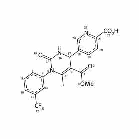 COC(=O)C1=C(C)N(c2cccc(C(F)(F)F)c2)C(=O)NC1c1ccc(C(=O)O)nc1